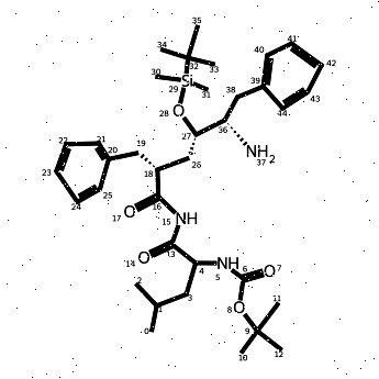 CC(C)CC(NC(=O)OC(C)(C)C)C(=O)NC(=O)[C@H](Cc1ccccc1)C[C@H](O[Si](C)(C)C(C)(C)C)[C@@H](N)Cc1ccccc1